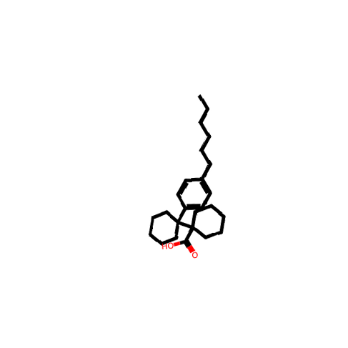 CCCCCCc1ccc(C2(C3(C(=O)O)CCCCC3)CCCCC2)cc1